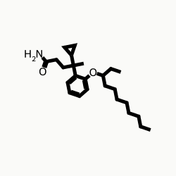 CCCCCCCCC(CC)Oc1ccccc1C(C)(CCC(N)=O)C1CC1